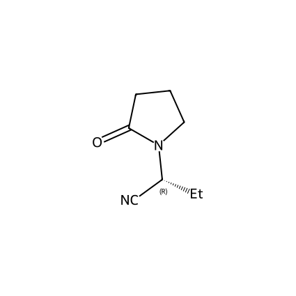 CC[C@H](C#N)N1CCCC1=O